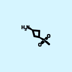 CS(=O)(=O)[C@H]1C[C@@H](N)C1